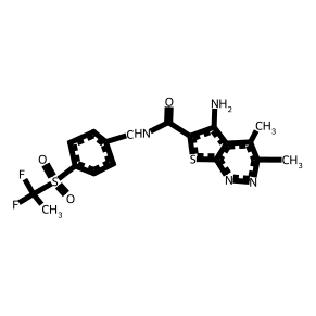 Cc1nnc2sc(C(=O)NCc3ccc(S(=O)(=O)C(C)(F)F)cc3)c(N)c2c1C